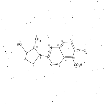 C[C@H]1C(O)CCN1c1ccc2c(C(=O)O)c(Cl)ccc2n1